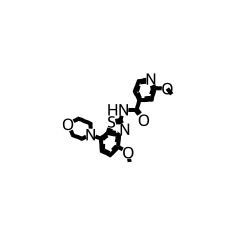 COc1cc(C(=O)Nc2nc3c(OC)ccc(N4CCOCC4)c3s2)ccn1